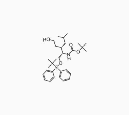 CC(C)C[C@H](CCO)[C@H](CO[Si](c1ccccc1)(c1ccccc1)C(C)(C)C)NC(=O)OC(C)(C)C